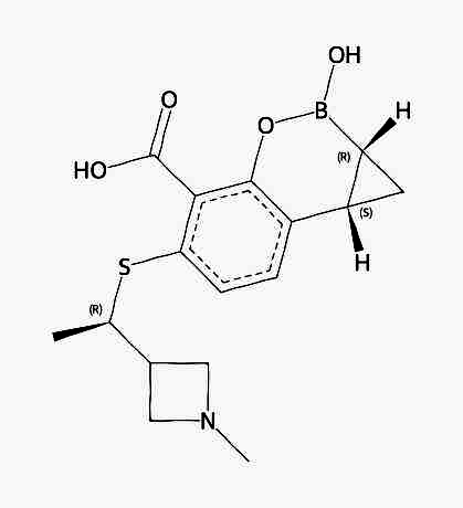 C[C@@H](Sc1ccc2c(c1C(=O)O)OB(O)[C@@H]1C[C@H]21)C1CN(C)C1